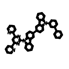 c1ccc(-c2cccc(-n3c4ccccc4c4cc(-c5ccc6c(c5)c5ccccc5n6-c5nc(-c6ccccn6)cc(-c6ccccn6)n5)ccc43)c2)cc1